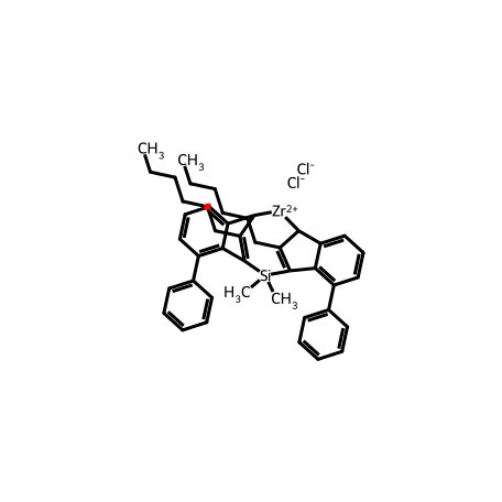 CCCCCCC1=C2c3c(-c4ccccc4)cccc3[CH]1[Zr+2][CH]1C(CCCCCC)=C(c3c(-c4ccccc4)cccc31)[Si]2(C)C.[Cl-].[Cl-]